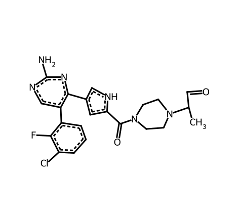 CC(C=O)N1CCN(C(=O)c2cc(-c3nc(N)ncc3-c3cccc(Cl)c3F)c[nH]2)CC1